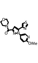 COc1ccc(-n2nc(C(=O)N3CCOCC3)cc2-c2cscn2)cn1